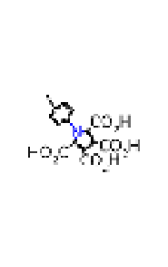 Cc1ccc(-n2c(C(=O)O)c(C(=O)O)c(C(=O)O)c2C(=O)O)cc1